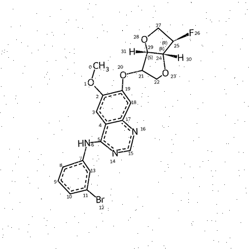 COc1cc2c(Nc3cccc(Br)c3)ncnc2cc1OC1CO[C@H]2[C@H](F)CO[C@@H]12